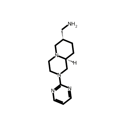 NC[C@@H]1CC[C@H]2CN(c3ncccn3)CCN2C1